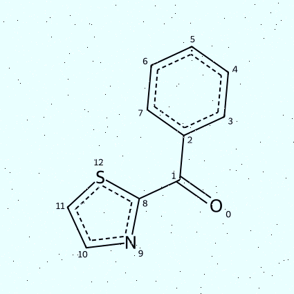 O=C(c1cc[c]cc1)c1nccs1